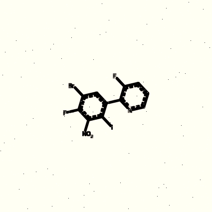 O=[N+]([O-])c1c(F)c(Br)cc(-c2ncccc2F)c1I